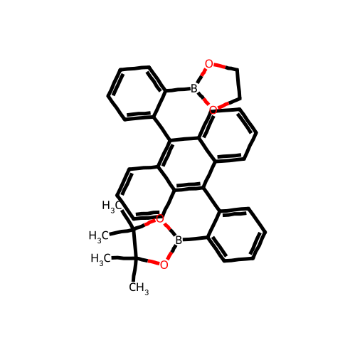 CC1(C)OB(c2ccccc2-c2c3ccccc3c(-c3ccccc3B3OCCO3)c3ccccc23)OC1(C)C